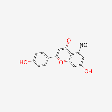 O=Nc1cc(O)cc2oc(-c3ccc(O)cc3)cc(=O)c12